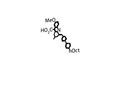 CCCCCCCCc1ccc(-c2ccc(/C=C3\CC(C)Cc4c3nc3ccc(OC)cc3c4C(=O)O)cc2)cc1